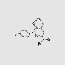 BrC(Br)c1cc2ccccc2c(-c2ccc(I)cc2)n1